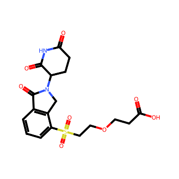 O=C(O)CCOCCS(=O)(=O)c1cccc2c1CN(C1CCC(=O)NC1=O)C2=O